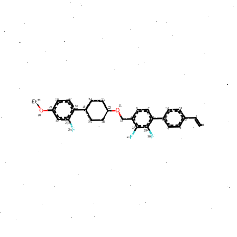 C=Cc1ccc(-c2ccc(COC3CCC(c4ccc(OCC)cc4F)CC3)c(F)c2F)cc1